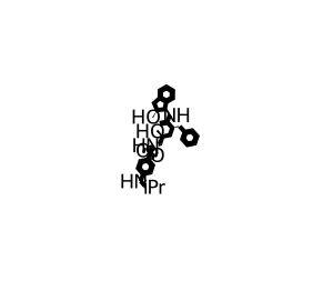 C=C(N[C@H]1c2ccccc2C[C@H]1O)[C@H](Cc1ccccc1)C[C@H](O)CNS(=O)(=O)c1ccc(NC(C)C)cc1